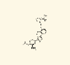 CCc1c(CCN2CCC[C@H]2C(=O)O)cccc1-c1cnc(-c2ccc(OC(C)C)c(N)c2)s1